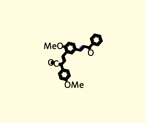 COc1ccc(C(=C=O)C=Cc2cc(/C=C/C(=O)c3ccccc3)ccc2OC)cc1